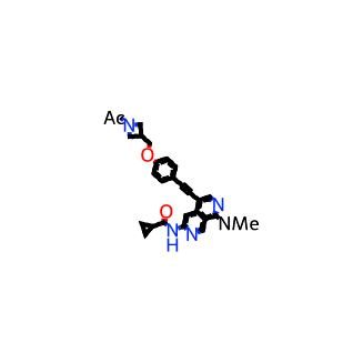 CNc1ncc(C#Cc2ccc(OCC3CN(C(C)=O)C3)cc2)c2cc(NC(=O)C3CC3)ncc12